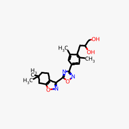 Cc1cc(-c2noc(-c3noc4c3CCC(C)(C)C4)n2)cc(C)c1CC(O)CO